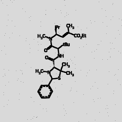 CCOC(=O)/C(C)=C/[C@H](C(C)C)N(C)C(=O)C(NC(=O)[C@H]1N(C)C(c2ccccc2)SC1(C)C)C(C)(C)C